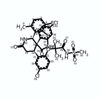 Cc1ccc(F)c(F)c1[C@@H]1NC(=O)C[C@H](c2cc(Cl)ccc2OC(C)(C)C(=O)NS(C)(=O)=O)[C@@]12C(=O)Nc1cc(Cl)ccc12